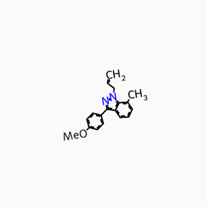 C=CCn1nc(-c2ccc(OC)cc2)c2cccc(C)c21